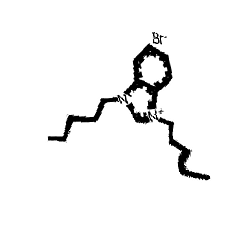 CCCCCn1c[n+](CCCCC)c2ccccc21.[Br-]